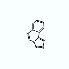 c1ccc2c(c1)ncn1nnnc21